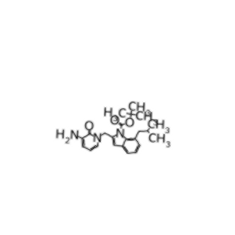 CC(C)Cc1cccc2cc(Cn3cccc(N)c3=O)n(C(=O)OC(C)(C)C)c12